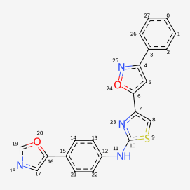 c1ccc(-c2cc(-c3csc(Nc4ccc(-c5cnco5)cc4)n3)on2)cc1